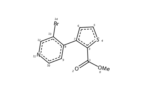 COC(=O)c1sccc1-c1ccncc1Br